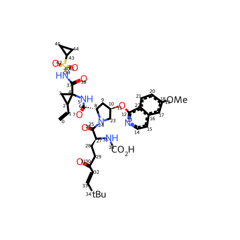 C=CC1CC1(NC(=O)[C@@H]1C[C@@H](Oc2nccc3cc(OC)ccc23)CN1C(=O)[C@H](CCC(=O)/C=C/C(C)(C)C)NC(=O)O)C(=O)NS(=O)(=O)C1CC1